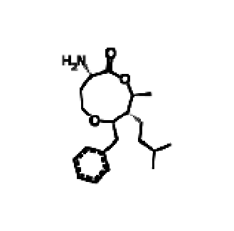 CC(C)CC[C@H]1[C@H](C)OC(=O)[C@@H](N)CCO[C@@H]1Cc1ccccc1